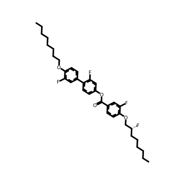 CCCCCCCCOc1ccc(-c2ccc(OC(=O)c3ccc(OC[C@H](F)CCCCCC)c(F)c3)cc2F)cc1F